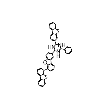 c1ccc(C2NC(c3ccc4c(c3)sc3ccccc34)NC(c3ccc4oc5c(-c6cccc7c6sc6ccccc67)cccc5c4c3)N2)cc1